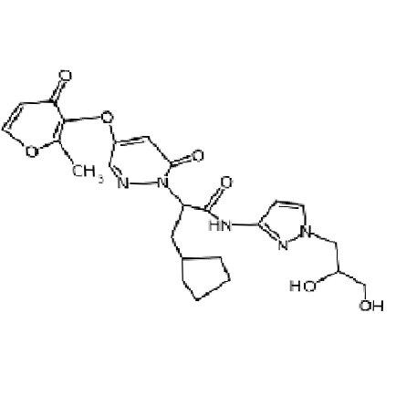 Cc1occc(=O)c1Oc1cnn(C(CC2CCCC2)C(=O)Nc2ccn(CC(O)CO)n2)c(=O)c1